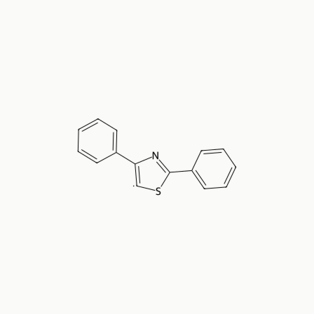 [c]1sc(-c2ccccc2)nc1-c1ccccc1